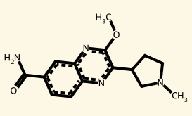 COc1nc2cc(C(N)=O)ccc2nc1C1CCN(C)C1